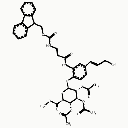 COC(=O)[C@H]1O[C@@H](Oc2ccc(/C=C/CO)cc2NC(=O)CCNC(=O)OCC2c3ccccc3-c3ccccc32)[C@H](OC(C)=O)[C@@H](OC(C)=O)[C@@H]1OC(C)=O